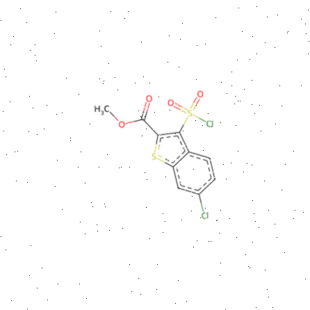 COC(=O)c1sc2cc(Cl)ccc2c1S(=O)(=O)Cl